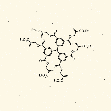 C=C(COC(=O)c1cc(C(=O)OCC(=C)C(=O)OCC)cc(N(c2cc(C(=O)OCC(=C)C(=O)OCC)cc(C(=O)OCC(=C)C(=O)OCC)c2)c2cc(C(=O)OCC(=C)C(=O)OCC)cc(C(=O)OCC(=C)C(=O)OCC)c2)c1)C(=O)OCC